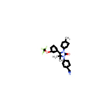 Cc1ccc(N2C(=O)N(c3ccc(C#N)cc3)C(C)(C)C2c2cccc(OC(F)(F)F)c2)cc1